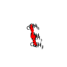 CN(C)C(=O)c1ccc(N2CCC(CCCCN(Cc3cccc(C(O)(C(=O)N(C)CCCC4CCN(c5ccc(C(=O)N(C)C)c(Cl)c5)CC4)C(F)(F)F)c3)C(=O)C(O)(c3ccccc3)C(F)(F)F)CC2)cc1Cl